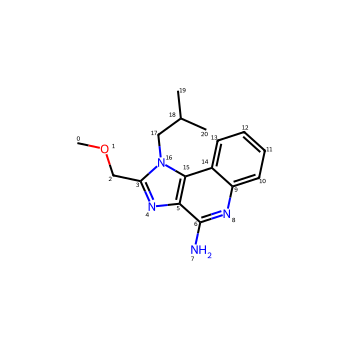 COCc1nc2c(N)nc3ccccc3c2n1CC(C)C